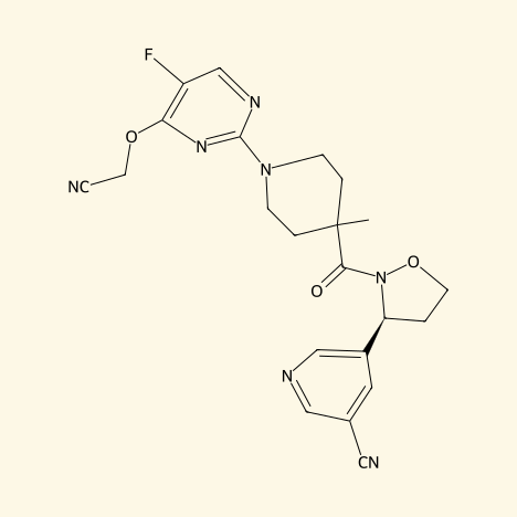 CC1(C(=O)N2OCC[C@H]2c2cncc(C#N)c2)CCN(c2ncc(F)c(OCC#N)n2)CC1